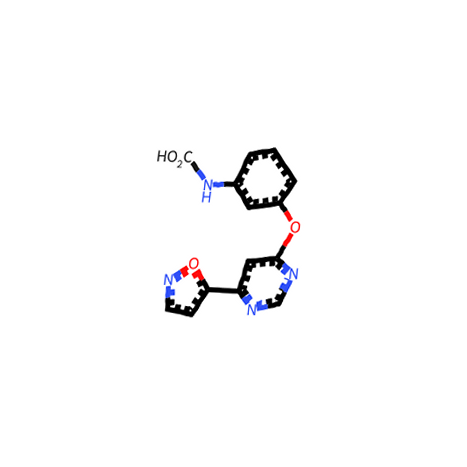 O=C(O)Nc1cccc(Oc2cc(-c3ccno3)ncn2)c1